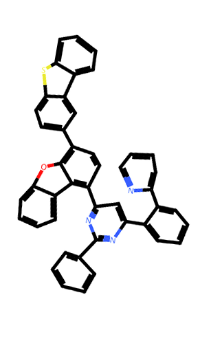 c1ccc(-c2nc(-c3ccccc3-c3ccccn3)cc(-c3ccc(-c4ccc5sc6ccccc6c5c4)c4oc5ccccc5c34)n2)cc1